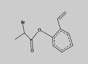 C=Cc1ccccc1OC(=O)C(C)Br